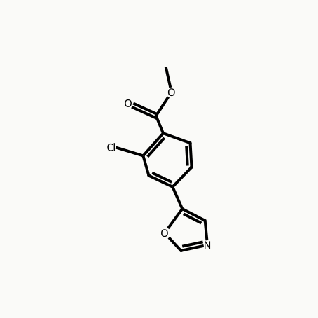 COC(=O)c1ccc(-c2cnco2)cc1Cl